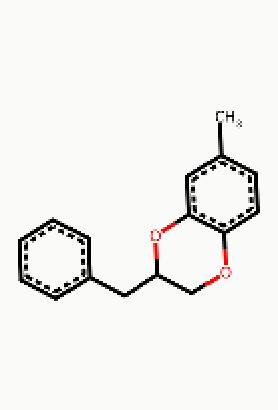 Cc1ccc2c(c1)OC(Cc1ccccc1)CO2